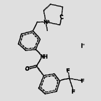 C[N+]1(Cc2cccc(NC(=O)c3cccc(C(F)(F)F)c3)c2)CCCCC1.[I-]